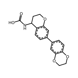 O=C(O)NC1CCOc2cc(-c3ccc4c(c3)OCCO4)ccc21